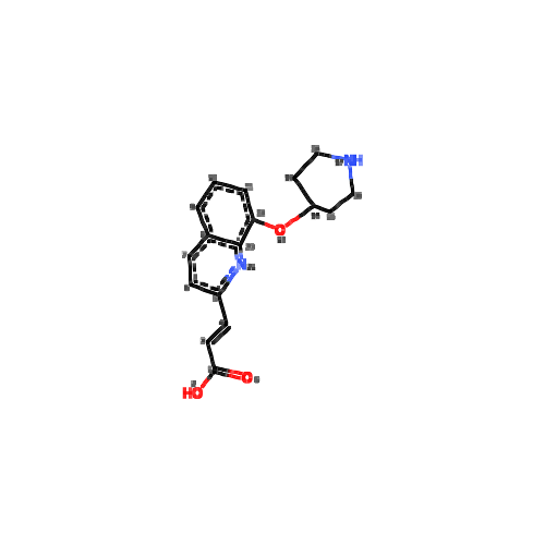 O=C(O)C=Cc1ccc2cccc(OC3CCNCC3)c2n1